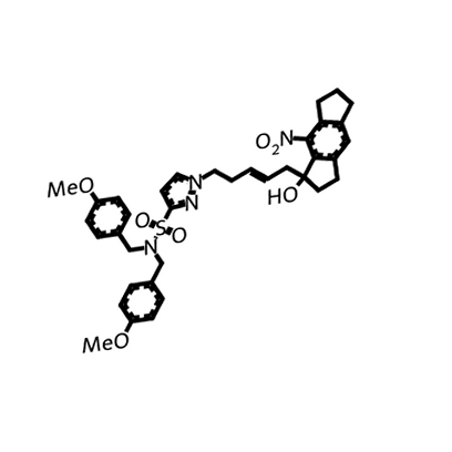 COc1ccc(CN(Cc2ccc(OC)cc2)S(=O)(=O)c2ccn(CC/C=C/CC3(O)CCc4cc5c(c([N+](=O)[O-])c43)CCC5)n2)cc1